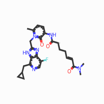 Cc1ccc(NC(=O)[CH]CC/C=C/C(=O)N(C)C)c(=O)n1Cc1nc2c(F)cnc(CC3CC3)c2[nH]1